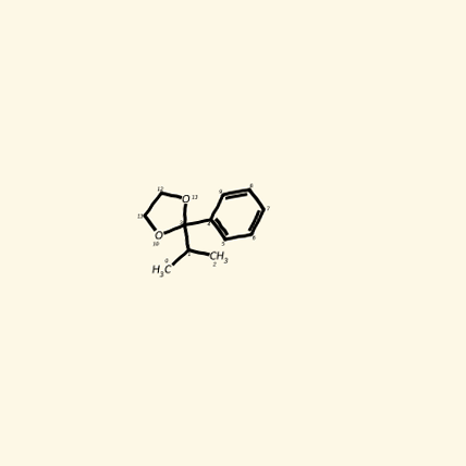 CC(C)C1(c2ccccc2)OCCO1